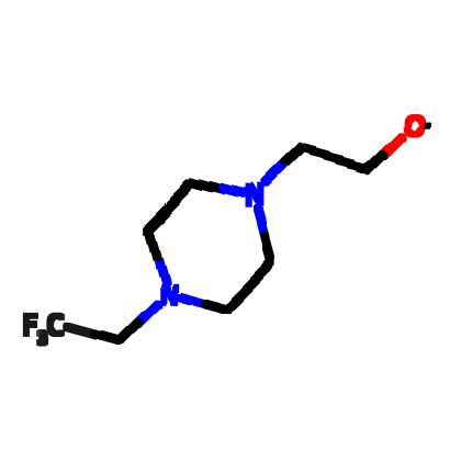 [O]CCN1CCN(CC(F)(F)F)CC1